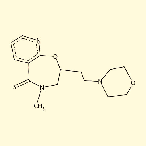 CN1CC(CCN2CCOCC2)Oc2ncccc2C1=S